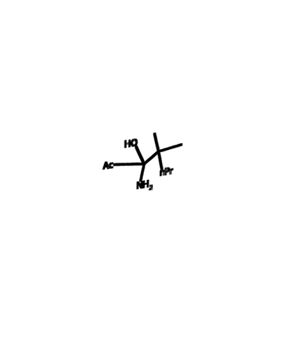 CCCC(C)(C)C(N)(O)C(C)=O